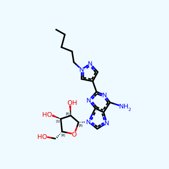 CCCCCn1cc(-c2nc(N)c3ncn([C@@H]4O[C@H](CO)[C@@H](O)[C@H]4O)c3n2)cn1